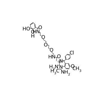 COc1ccc2c(c1)C(c1ccc(Cl)cc1)=N[C@@H](CC(=O)NCCOCCOCCOCCNC(=O)c1cccc(O)c1O)C(N)N2C(C)N